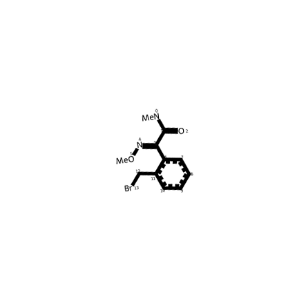 CNC(=O)/C(=N/OC)c1ccccc1CBr